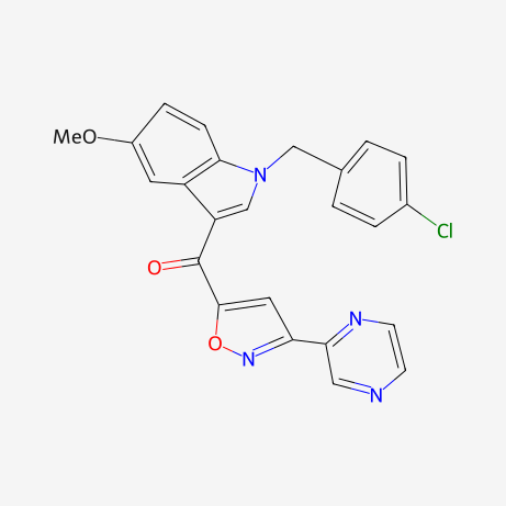 COc1ccc2c(c1)c(C(=O)c1cc(-c3cnccn3)no1)cn2Cc1ccc(Cl)cc1